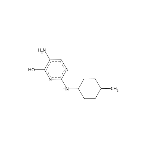 CC1CCC(Nc2ncc(N)c(O)n2)CC1